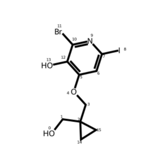 OCC1(COc2cc(I)nc(Br)c2O)CC1